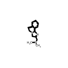 CN(C)CC1=NC2=c3ccccc3=CCN2C1